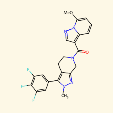 COc1cccc2c(C(=O)N3CCc4c(nn(C)c4-c4cc(F)c(F)c(F)c4)C3)cnn12